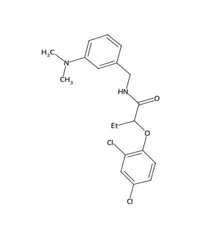 CCC(Oc1ccc(Cl)cc1Cl)C(=O)NCc1cccc(N(C)C)c1